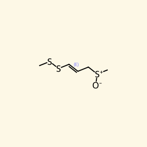 CSS/C=C/C[S+](C)[O-]